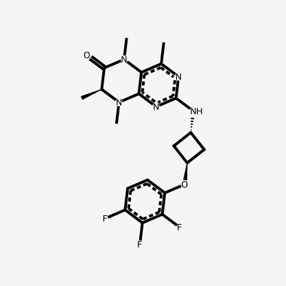 Cc1nc(N[C@H]2C[C@H](Oc3ccc(F)c(F)c3F)C2)nc2c1N(C)C(=O)[C@H](C)N2C